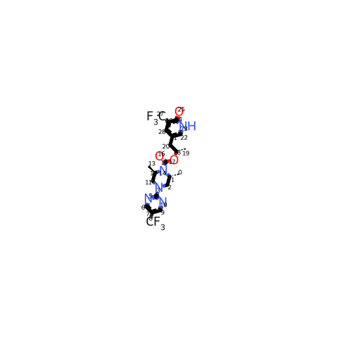 C[C@@H]1CN(c2ncc(C(F)(F)F)cn2)C[C@@H](C)N1C(=O)O[C@@H](C)Cc1c[nH]c(=O)c(C(F)(F)F)c1